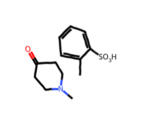 CN1CCC(=O)CC1.Cc1ccccc1S(=O)(=O)O